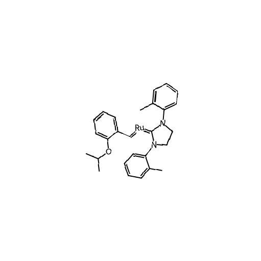 Cc1ccccc1N1CCN(c2ccccc2C)[C]1=[Ru]=[CH]c1ccccc1OC(C)C